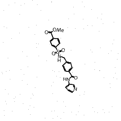 COC(=O)c1ccc(S(=O)(=O)NCc2ccc(C(=O)Nc3cccnc3)cc2)cc1